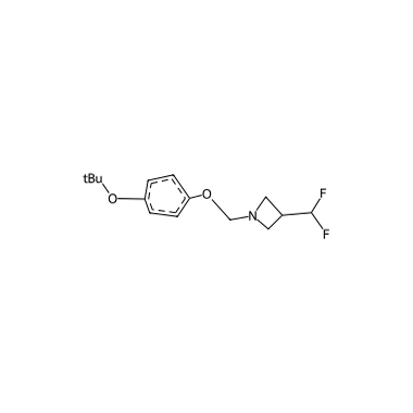 CC(C)(C)Oc1ccc(OCN2CC(C(F)F)C2)cc1